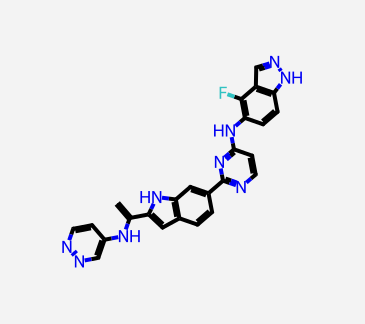 C=C(Nc1ccnnc1)c1cc2ccc(-c3nccc(Nc4ccc5[nH]ncc5c4F)n3)cc2[nH]1